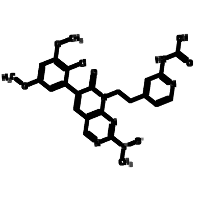 COc1cc(OC)c(Cl)c(-c2cc3cnc([S+](C)[O-])nc3n(CCc3ccnc(NC(=O)O)c3)c2=O)c1